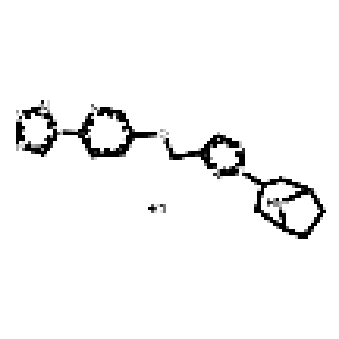 Cl.c1cc(-n2cnnn2)ncc1OCc1cnn(C2CC3CCC(C2)N3)n1